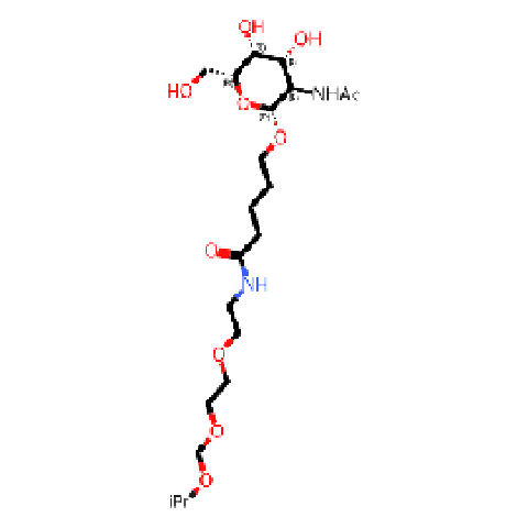 CC(=O)N[C@H]1[C@H](OCCCCC(=O)NCCOCCOCOC(C)C)O[C@H](CO)[C@H](O)[C@@H]1O